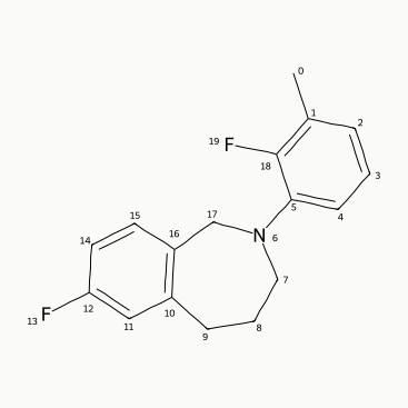 Cc1cccc(N2CCCc3cc(F)ccc3C2)c1F